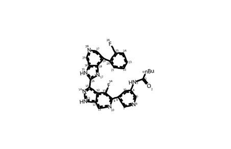 CCCCC(=O)Nc1cncc(-c2ncc3[nH]nc(-c4nc5c(-c6ccccc6F)cncc5[nH]4)c3c2F)c1